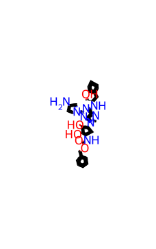 NC1CCN(c2nc(N[C@H](CO)Cc3ccccc3)c3ncn([C@@H]4C[C@H](NC(=O)OCc5ccccc5)[C@@H](O)[C@H]4O)c3n2)C1